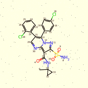 CC1(NC(=O)c2c(S(N)(=O)=O)nn3c(-c4ccc(Cl)cc4)c(-c4ccccc4Cl)cnc23)CC1